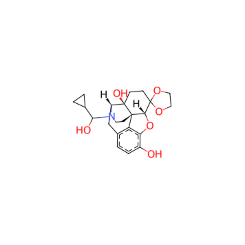 Oc1ccc2c3c1O[C@H]1C4(CC[C@@]5(O)[C@@H](C2)N(C(O)C2CC2)CC[C@]315)OCCO4